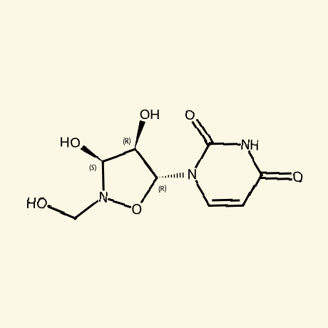 O=c1ccn([C@@H]2ON(CO)[C@@H](O)[C@H]2O)c(=O)[nH]1